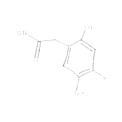 Cc1cc(F)c([N+](=O)[O-])cc1CC(N)=O